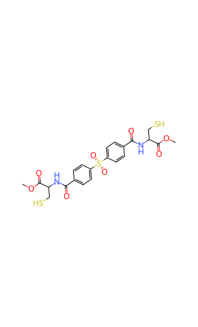 COC(=O)C(CS)NC(=O)c1ccc(S(=O)(=O)c2ccc(C(=O)NC(CS)C(=O)OC)cc2)cc1